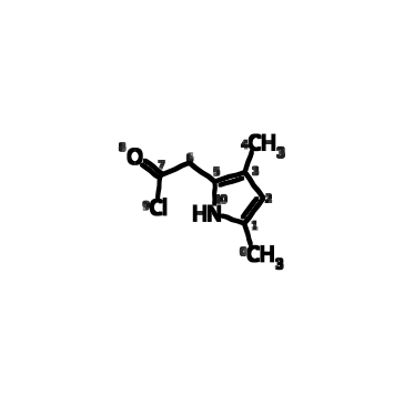 Cc1cc(C)c(CC(=O)Cl)[nH]1